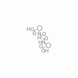 O=C(CC(=O)Nc1ccccc1C(=O)O)Nc1ccccc1C(=O)O